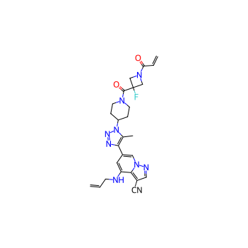 C=CCNc1cc(-c2nnn(C3CCN(C(=O)C4(F)CN(C(=O)C=C)C4)CC3)c2C)cn2ncc(C#N)c12